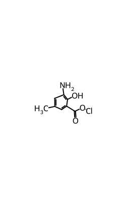 Cc1cc(N)c(O)c(C(=O)OCl)c1